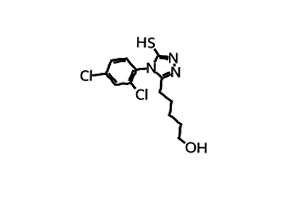 OCCCCCc1nnc(S)n1-c1ccc(Cl)cc1Cl